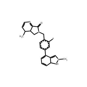 CC1C=CN=C2C(=O)N(Cc3ccc(C4=CC=CC5NN(C)C=C45)cc3F)CC21